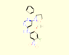 COc1cc(F)c([N+](=O)[O-])cc1Nc1cc(N2OCC[C@@H]2c2ccccc2)ncn1